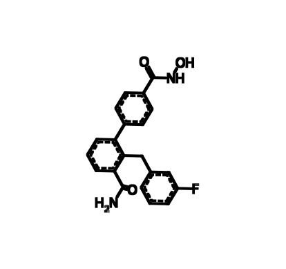 NC(=O)c1cccc(-c2ccc(C(=O)NO)cc2)c1Cc1cccc(F)c1